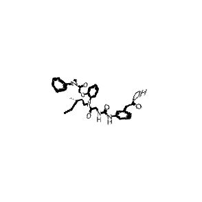 CC[C@H](C)CCN(C(=O)CNC(=O)Nc1cccc(CC(=O)O)c1)c1ccccc1OCC(=O)N(C)c1ccccc1